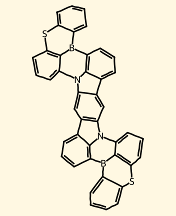 c1ccc2c(c1)Sc1cccc3c1B2c1cccc2c4cc5c(cc4n-3c12)c1cccc2c1n5-c1cccc3c1B2c1ccccc1S3